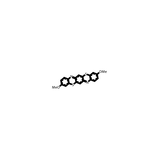 COc1ccc2c(c1)Sc1cc3c(cc1=N2)Sc1cc(OC)ccc1N=3